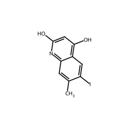 Cc1cc2nc(O)cc(O)c2cc1I